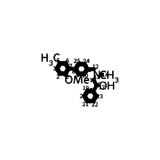 COc1ccc(C)cc1-c1ccc(CN(C)CC(O)c2ccccc2)cc1